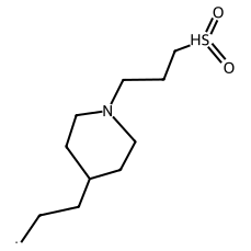 [CH2]CCC1CCN(CCC[SH](=O)=O)CC1